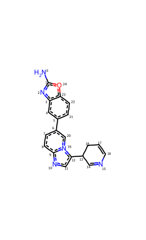 Nc1nc2cc(-c3ccc4ncc(C5C=NC=CC5)n4c3)ccc2o1